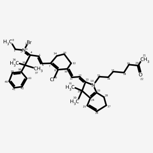 CC/[N+](Br)=C(/C=C/C1=C(Cl)C(=C/C=C2/N(CCCCCC(C)=O)C3=C(C=CCC3)C2(C)C)/CCC1)C(C)(C)c1ccccc1